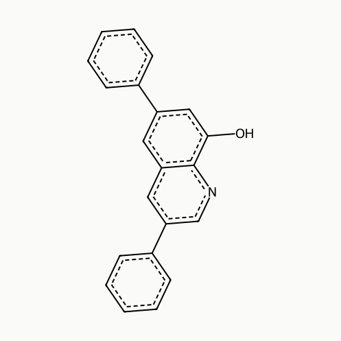 Oc1cc(-c2ccccc2)cc2cc(-c3ccccc3)cnc12